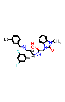 CCc1cccc(CNC[C@H](O)[C@@H](Cc2cc(F)cc(F)c2)NC(=O)Cn2c(=O)n(C)c3ccccc32)c1